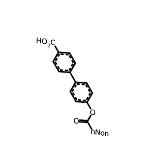 CCCCCCCCCC(=O)Oc1ccc(-c2ccc(C(=O)O)cc2)cc1